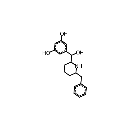 Oc1cc(O)cc(C(O)C2CCCC(Cc3ccccc3)N2)c1